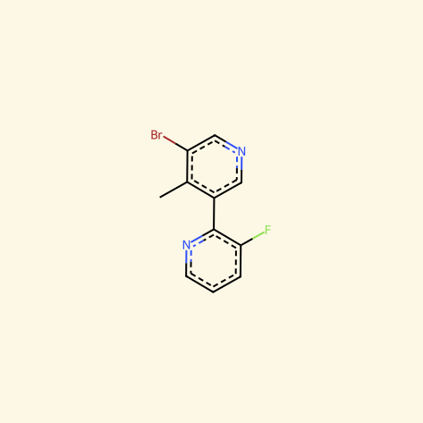 Cc1c(Br)cncc1-c1ncccc1F